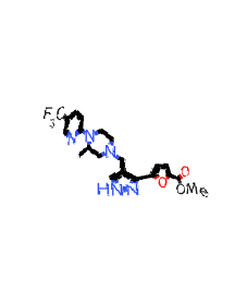 COC(=O)c1ccc(-c2n[nH]cc2CN2CCN(c3ccc(C(F)(F)F)cn3)C(C)C2)o1